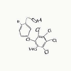 OCc1ccccc1F.Oc1c(Cl)c(Cl)c(Cl)c(Cl)c1Cl